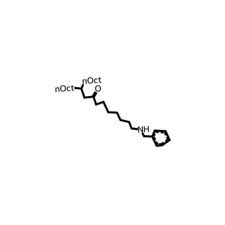 CCCCCCCCC(CCCCCCCC)CC(=O)CCCCCCCNCc1ccccc1